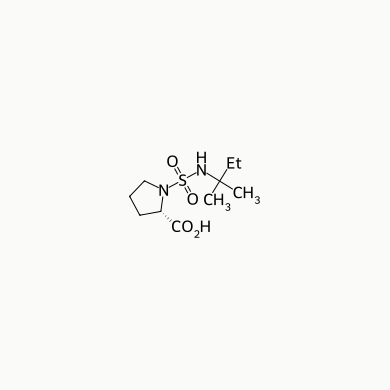 CCC(C)(C)NS(=O)(=O)N1CCC[C@H]1C(=O)O